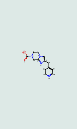 O=C(O)N1CCn2cc(Cc3ccncc3)nc2C1